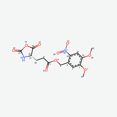 COc1cc(COC(=O)CC[C@@H]2NC(=O)OC2=O)c([N+](=O)[O-])cc1OC